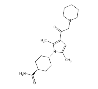 Cc1cc(C(=O)CN2CCCCC2)c(C)n1[C@H]1CC[C@H](C(N)=O)CC1